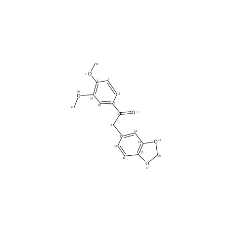 COc1ccc(C(=O)Cc2ccc3c(c2)OCO3)cc1OC